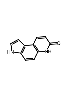 O=c1ccc2c(ccc3[nH]ccc32)[nH]1